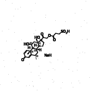 C[C@H]1C[C@@H]2[C@H]([C@@H](O)C[C@@]3(C)[C@H]2CC[C@]3(O)C(=O)COC(=O)CCS(=O)(=O)O)[C@@]2(C)C=CC(=O)C=C12.[NaH]